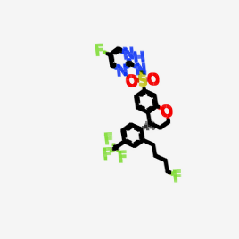 O=S(=O)(Nc1ncc(F)cn1)c1ccc2c(c1)OCC[C@@H]2c1ccc(C(F)(F)F)cc1CCCCF